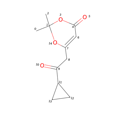 CC1(C)OC(=O)C=C(CC(=O)C2CC2)O1